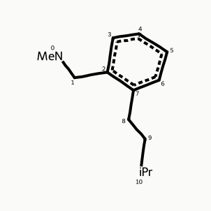 CNCc1c[c]ccc1CCC(C)C